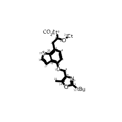 CCOC(=O)C(Cc1ccc(OCc2nc(C(C)(C)C)oc2C)c2ccsc12)OCC